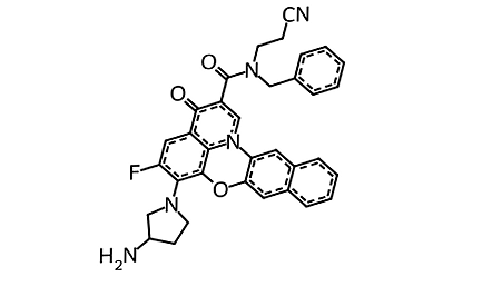 N#CCCN(Cc1ccccc1)C(=O)c1cn2c3c(c(N4CCC(N)C4)c(F)cc3c1=O)Oc1cc3ccccc3cc1-2